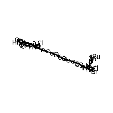 CC(C)(C)OC(=O)N1CCN(c2nc(NCCOCCOCCOCCOCCOCCOCCOCCOCCOCCOCCc3cc(Cl)cc(NC(=O)NCc4ccc5c(c4)CN(C4CCC(=O)NC4=O)C5=O)c3)nc3c(F)c(Br)c(Cl)cc23)CC1